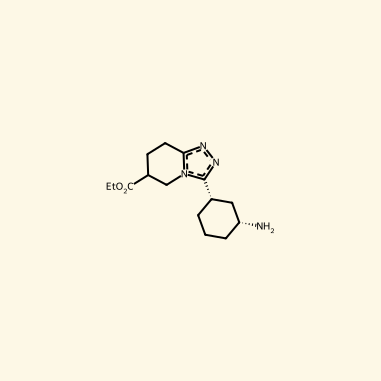 CCOC(=O)C1CCc2nnc([C@H]3CCC[C@@H](N)C3)n2C1